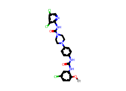 CCOc1ccc(Cl)cc1NC(=O)Nc1ccc(N2CCN(C(=O)Nc3ncc(Cl)cc3Cl)CC2)cc1